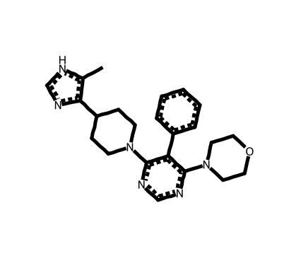 Cc1[nH]cnc1C1CCN(c2ncnc(N3CCOCC3)c2-c2ccccc2)CC1